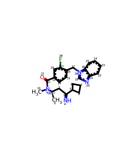 C[C@H](CC(=N)C1CCC1)N(C)C(=O)c1ccc(Cn2cnc3ccccc32)c(F)c1